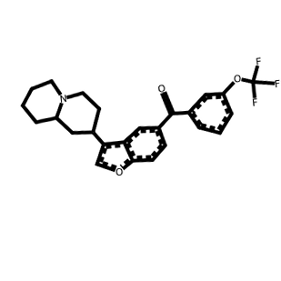 O=C(c1cccc(OC(F)(F)F)c1)c1ccc2occ(C3CCN4CCCCC4C3)c2c1